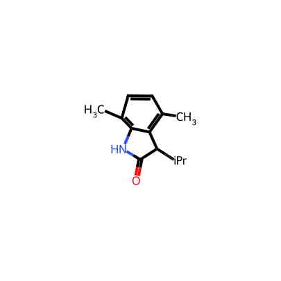 Cc1ccc(C)c2c1NC(=O)C2C(C)C